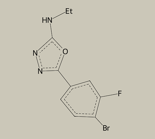 CCNc1nnc(-c2ccc(Br)c(F)c2)o1